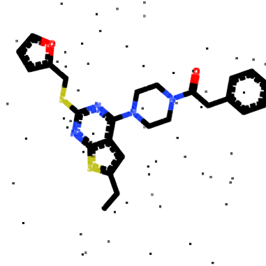 CCc1cc2c(N3CCN(C(=O)Cc4ccccc4)CC3)nc(SCc3ccco3)nc2s1